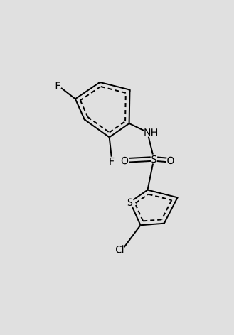 O=S(=O)(Nc1ccc(F)cc1F)c1ccc(Cl)s1